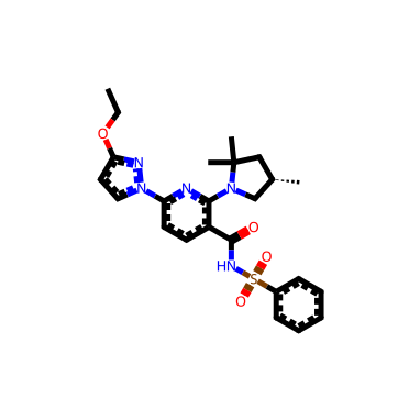 CCOc1ccn(-c2ccc(C(=O)NS(=O)(=O)c3ccccc3)c(N3C[C@@H](C)CC3(C)C)n2)n1